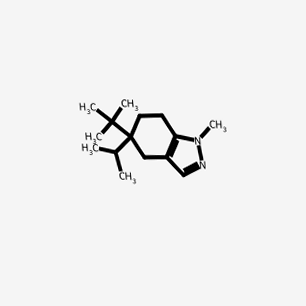 CC(C)C1(C(C)(C)C)CCc2c(cnn2C)C1